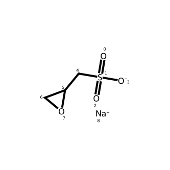 O=S(=O)([O-])CC1CO1.[Na+]